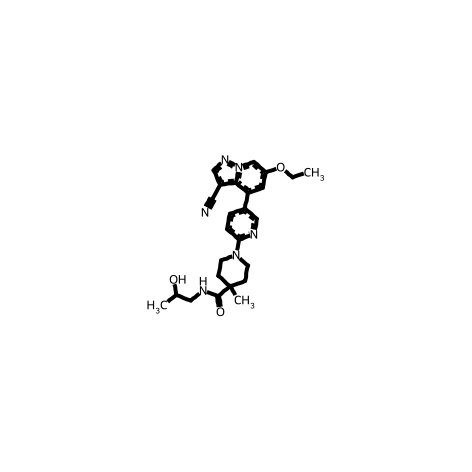 CCOc1cc(-c2ccc(N3CCC(C)(C(=O)NCC(C)O)CC3)nc2)c2c(C#N)cnn2c1